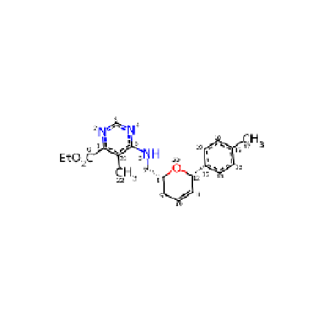 CCOC(=O)c1ncnc(NC[C@H]2CC=C[C@@H](c3ccc(C)cc3)O2)c1C